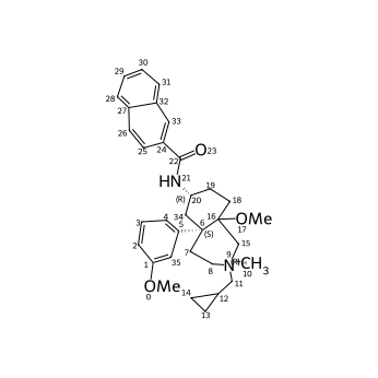 COc1cccc([C@@]23CC[N@+](C)(CC4CC4)CC2(OC)CC[C@@H](NC(=O)c2ccc4ccccc4c2)C3)c1